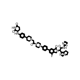 O=C1CC[C@@H](Nc2ccc(C3CCN(CC(=O)N4CCN(c5ccc(-c6cc(F)c7c(c6)C(=O)N(C(C(=O)Nc6nccs6)c6ncn8c6CCC8)C7)cc5)CC4)CC3)cc2)C(=O)N1